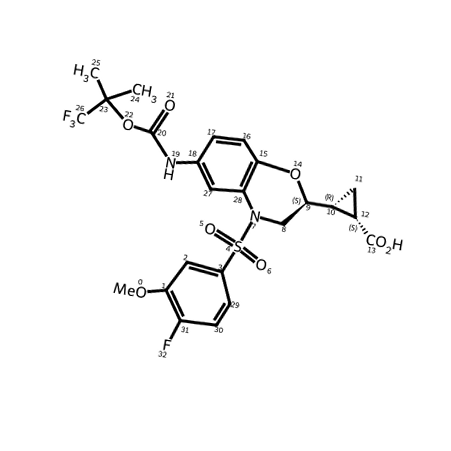 COc1cc(S(=O)(=O)N2C[C@H]([C@@H]3C[C@@H]3C(=O)O)Oc3ccc(NC(=O)OC(C)(C)C(F)(F)F)cc32)ccc1F